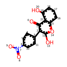 O=c1c(-c2ccc([N+](=O)[O-])cc2)c(O)oc2cccc(O)c12